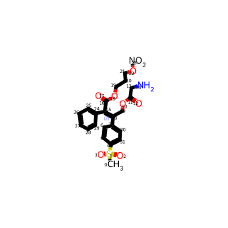 CS(=O)(=O)c1ccc(/C(COC(=O)CN)=C(/C(=O)OCCCO[N+](=O)[O-])c2ccccc2)cc1